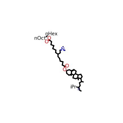 C/C=C(\CCC(C)C1CCC2C3CC=C4CC(OC(=O)CCCCCC(CCCCCCC(=O)OC(CCCCCC)CCCCCCCC)CCN(C)C)CCC4(C)C3CCC12C)C(C)C